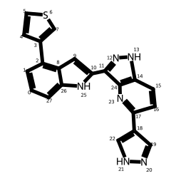 c1cc(-c2ccsc2)c2cc(-c3n[nH]c4ccc(-c5cn[nH]c5)nc34)[nH]c2c1